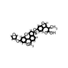 Cc1cc(OC2CCOC2)cc(C)c1-c1c(Cl)ccc2c1CC[C@]2(F)Oc1ccc2c(c1)OCC2C(C)C(=O)O